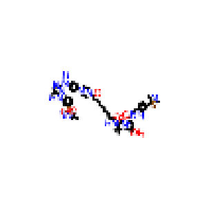 Cc1cnc(Nc2ccc(N3CCN(C(=O)CCCCCCCC(=O)NC(C(=O)N4C[C@H](O)C[C@H]4C(=O)NCc4ccc(-c5scnc5C)cc4)C(C)(C)C)CC3)cc2)nc1Nc1cccc(S(=O)(=O)NC(C)(C)C)c1